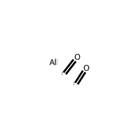 [Al].[C]=O.[C]=O